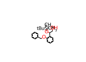 CC(C)(C)[Si](C)(C)OC(CO)c1ccccc1OCc1ccccc1